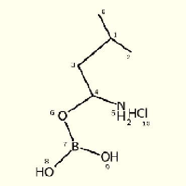 CC(C)CC(N)OB(O)O.Cl